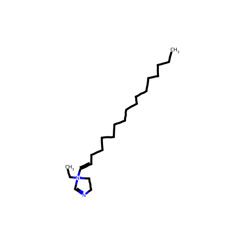 CCCCCCCCCCCCCCCC=C[N+]1(CC)C=NCC1